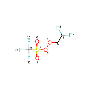 O=S(=O)(OOCC(F)F)C(F)(F)F